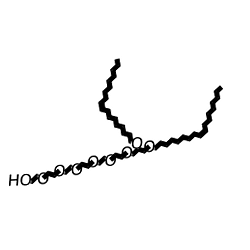 CCCCCCCC/C=C\CCCCCCCCOCC(COCCOCCOCCOCCOCCOCCO)OCCCCCCCC/C=C\CCCCCCCC